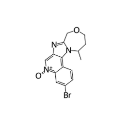 CC1CCOCc2nc3c[n+]([O-])c4cc(Br)ccc4c3n21